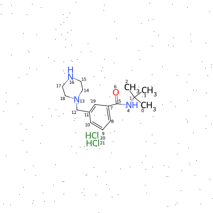 CC(C)(C)NC(=O)c1cccc(CN2CCNCC2)c1.Cl.Cl